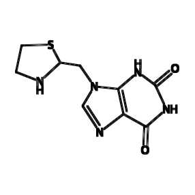 O=c1[nH]c(=O)c2ncn(CC3NCCS3)c2[nH]1